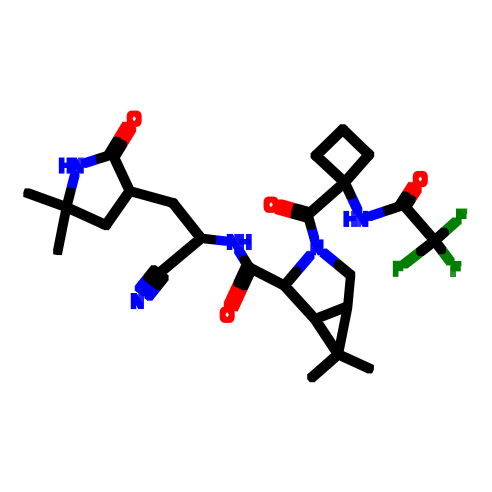 CC1(C)CC(CC(C#N)NC(=O)C2C3C(CN2C(=O)C2(NC(=O)C(F)(F)F)CCC2)C3(C)C)C(=O)N1